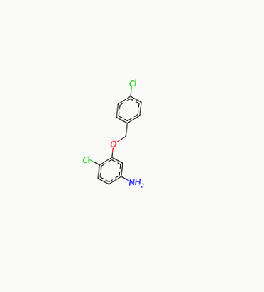 Nc1ccc(Cl)c(OCc2ccc(Cl)cc2)c1